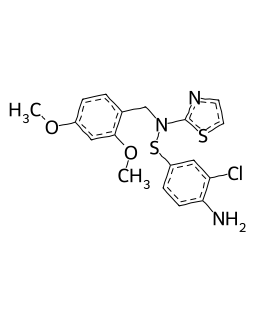 COc1ccc(CN(Sc2ccc(N)c(Cl)c2)c2nccs2)c(OC)c1